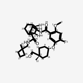 COc1cc(F)c(O[C@H]2CC[C@@](C)(C=O)CC2)cc1C(=O)N[C@H]1C2CCC(CC2)[C@H]1C(=O)NCC1(C)CCC1